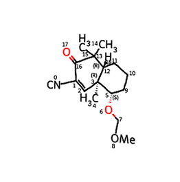 [C-]#[N+]C1=C[C@]2(C)[C@@H](OCOC)CCC[C@H]2C(C)(C)C1=O